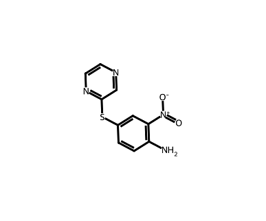 Nc1ccc(Sc2cnccn2)cc1[N+](=O)[O-]